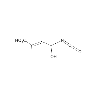 CC(=CC(O)N=C=O)C(=O)O